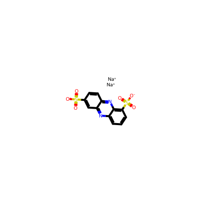 O=S(=O)([O-])c1ccc2nc3c(S(=O)(=O)[O-])cccc3nc2c1.[Na+].[Na+]